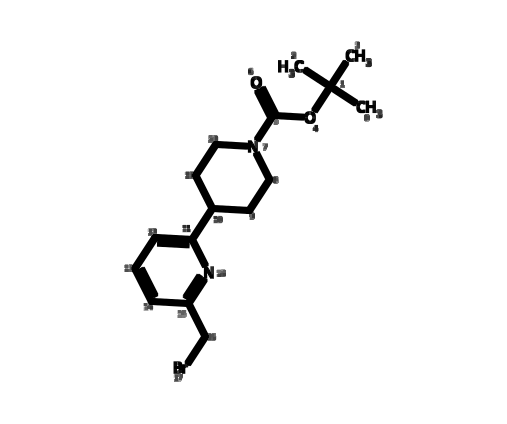 CC(C)(C)OC(=O)N1CCC(c2cccc(CBr)n2)CC1